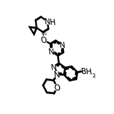 Bc1ccc2c(c1)c(-c1cncc(O[C@H]3CNCCC34CC4)n1)nn2C1CCCCO1